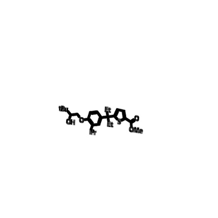 CCC(CC)(c1ccc(OCC(O)C(C)(C)C)c(C(C)C)c1)c1ccc(C(=O)OC)s1